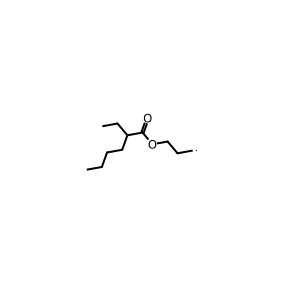 [CH2]CCOC(=O)C(CC)CCCC